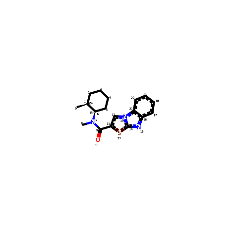 C[C@H]1CCCC[C@H]1N(C)C(=O)c1cn2c(nc3ccccc32)s1